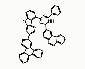 c1ccc(C2=NC(c3cccc4oc5cc(-c6ccc7c8ccccc8c8ccccc8c7c6)ccc5c34)=NC(c3ccc4ccc5ccccc5c4c3)N2)cc1